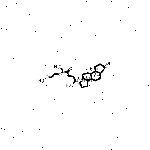 COCCON(C)C(=O)CCC(C)[C@H]1CC[C@H]2[C@@H]3CC=C4C[C@@H](O)CC[C@]4(C)[C@H]3CC[C@]12C